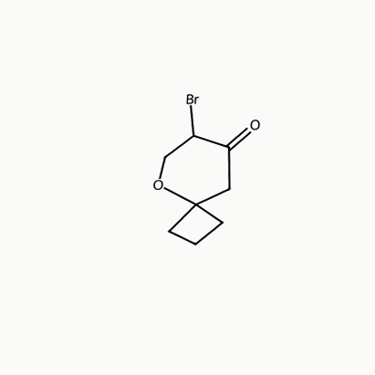 O=C1CC2(CCC2)OCC1Br